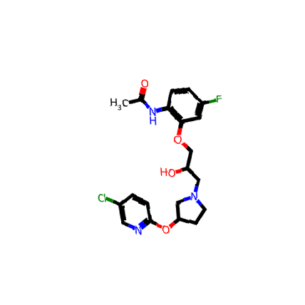 CC(=O)Nc1ccc(F)cc1OCC(O)CN1CCC(Oc2ccc(Cl)cn2)C1